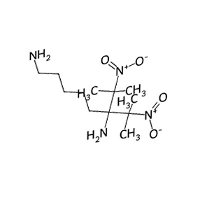 CC(C)([N+](=O)[O-])C(N)(CCCCCN)C(C)(C)[N+](=O)[O-]